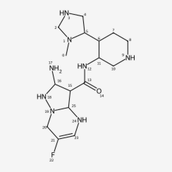 CN1CNCC1C1CCNCC1NC(=O)C1C(N)NN2CC(F)=CNC12